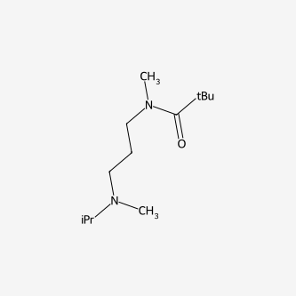 CC(C)N(C)CCCN(C)C(=O)C(C)(C)C